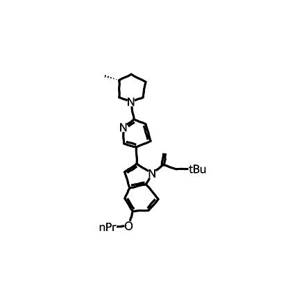 C=C(CC(C)(C)C)n1c(-c2ccc(N3CCC[C@@H](C)C3)nc2)cc2cc(OCCC)ccc21